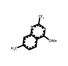 COc1nc(C(F)(F)F)nc2cc(C)ccc12